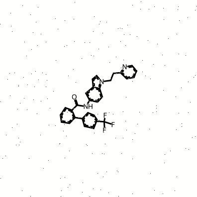 O=C(Nc1ccc2c(ccn2CCc2ccccn2)c1)c1ccccc1-c1ccc(C(F)(F)F)cc1